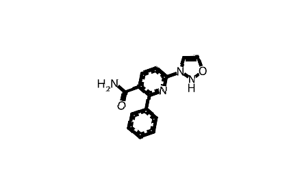 NC(=O)c1ccc(N2C=CON2)nc1-c1ccccc1